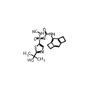 CC(C)(O)c1ncc([S@](=O)(=NC(=O)Nc2c3c(cc4c2CC4)CC3)NC#N)s1